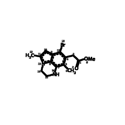 COC(=O)Cc1c(C)c2c3c(cc(C)n3CCN2)c1Br